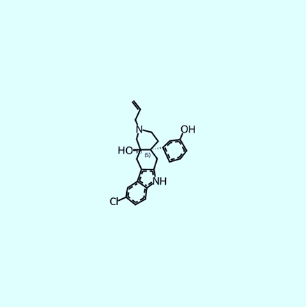 C=CCN1CC[C@@]2(c3cccc(O)c3)Cc3[nH]c4ccc(Cl)cc4c3C[C@]2(O)C1